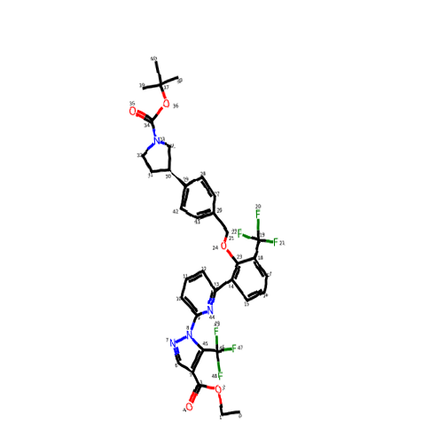 CCOC(=O)c1cnn(-c2cccc(-c3cccc(C(F)(F)F)c3OCc3ccc([C@H]4CCN(C(=O)OC(C)(C)C)C4)cc3)n2)c1C(F)(F)F